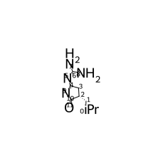 CC(C)C[C@H]1CC(N=C(N)N)=NC1=O